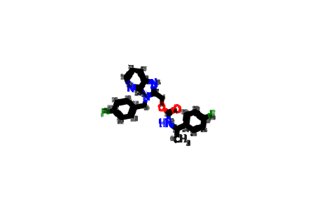 CC(NC(=O)OCc1nc2cccnc2n1Cc1ccc(F)cc1)c1ccc(F)cc1